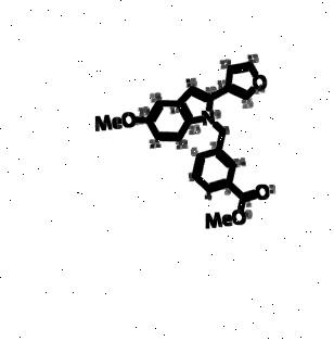 COC(=O)c1cccc(Cn2c(-c3ccoc3)cc3cc(OC)ccc32)c1